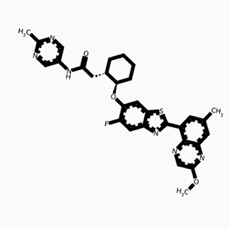 COc1cnc2c(-c3nc4cc(F)c(O[C@@H]5CCCC[C@H]5CC(=O)Nc5cnc(C)nc5)cc4s3)cc(C)cc2n1